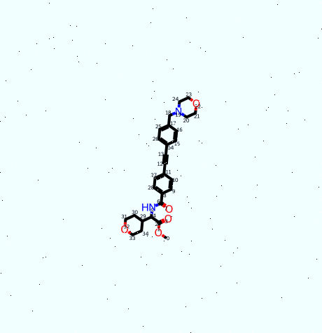 COC(=O)C(NC(=O)c1ccc(C#Cc2ccc(CN3CCOCC3)cc2)cc1)C1CCOCC1